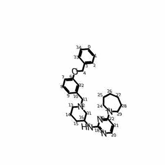 c1ccc(COc2cccc(CN3CCCC(Nc4nccc(N5CCCCCC5)n4)C3)c2)cc1